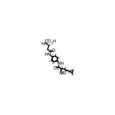 O=C(O)NCCC(=O)Nc1ccc(NC(=O)c2cc(C3CC3)on2)cc1